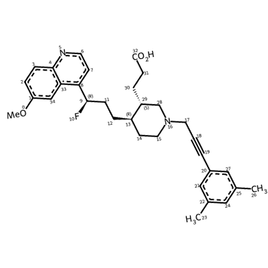 COc1ccc2nccc([C@H](F)CC[C@@H]3CCN(CC#Cc4cc(C)cc(C)c4)C[C@H]3CCC(=O)O)c2c1